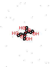 CC1(c2ccc(C3(C)c4ccc5c(O)cccc5c4Oc4c3ccc3c(O)cccc43)cc2)c2ccc3c(O)cccc3c2Oc2c1ccc1c(O)cccc21